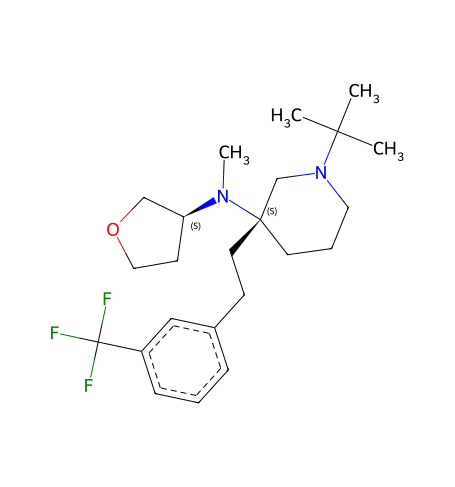 CN([C@H]1CCOC1)[C@@]1(CCc2cccc(C(F)(F)F)c2)CCCN(C(C)(C)C)C1